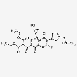 CCOC(=O)C(C(=O)OCC)C(=O)c1cn(C2CC2)c2c(Cl)c(N3CC=C(CNC)C3)c(F)cc2c1=O.Cl